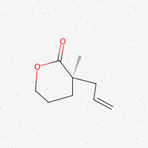 C=CC[C@@]1(C)CCCOC1=O